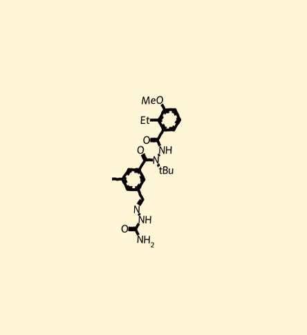 CCc1c(OC)cccc1C(=O)NN(C(=O)c1cc(C)cc(/C=N/NC(N)=O)c1)C(C)(C)C